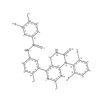 Cc1nc(-c2cc(NC(=O)c3ccc(C)c(F)c3)ccc2C)c2c(n1)N(c1c(F)cccc1F)C(=O)NC2